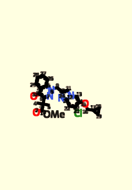 COC(=O)C(C)(C)c1nn(Cc2cn3cc(OCC4CC4)c(Cl)cc3n2)c2ccccc2c1=O